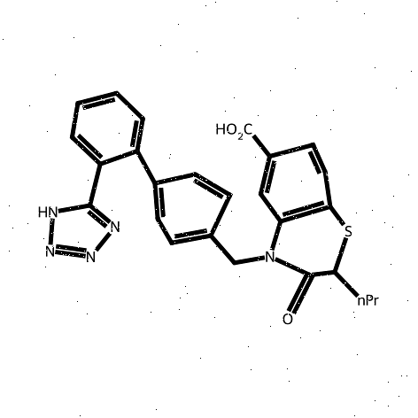 CCCC1Sc2ccc(C(=O)O)cc2N(Cc2ccc(-c3ccccc3-c3nnn[nH]3)cc2)C1=O